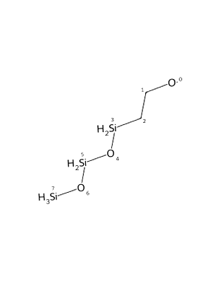 [O]CC[SiH2]O[SiH2]O[SiH3]